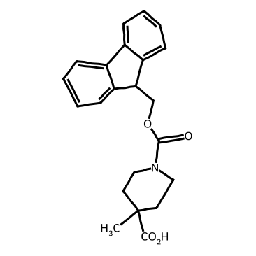 CC1(C(=O)O)CCN(C(=O)OCC2c3ccccc3-c3ccccc32)CC1